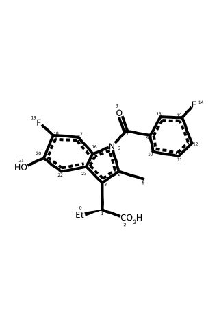 CC[C@H](C(=O)O)c1c(C)n(C(=O)c2cccc(F)c2)c2cc(F)c(O)cc12